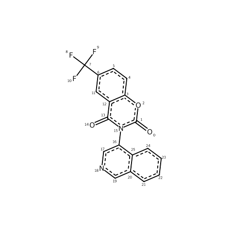 O=c1oc2ccc(C(F)(F)F)cc2c(=O)n1-c1cncc2ccccc12